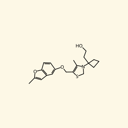 CC1=C(COc2ccc3oc(C)cc3c2)SCN1C1(CCO)CCC1